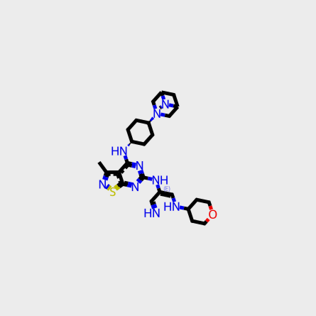 Cc1nsc2nc(N/C(C=N)=C/NC3CCOCC3)nc(N[C@H]3CC[C@H](N4CC5CC(C4)N5C)CC3)c12